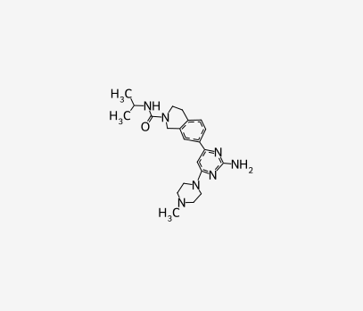 CC(C)NC(=O)N1CCc2ccc(-c3cc(N4CCN(C)CC4)nc(N)n3)cc2C1